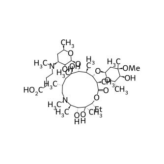 CC[C@H]1OC(=O)[C@H](C)[C@@H](O[C@H]2C[C@@](C)(OC)[C@@H](O)[C@H](C)O2)[C@H](C)[C@@H](O[C@@H]2O[C@H](C)C[C@H](N(C)CCCC(=O)O)[C@H]2O)[C@](C)(O)C[C@@H](C)CN(C)[C@H](C)[C@@H](O)[C@]1(C)O